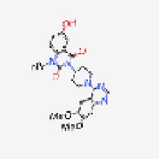 CCCn1c(=O)n(C2CCN(c3ncnc4cc(OC)c(OC)cc34)CC2)c(=O)c2cc(O)ccc21